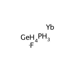 P.[F].[GeH4].[Yb]